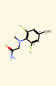 CN(CC(N)=O)c1c(F)cc(C=O)cc1F